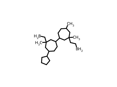 BCCC1(C)CC(C)CCC(C2CCC(C3CCCC3)CC(C)(CB)C2)C1